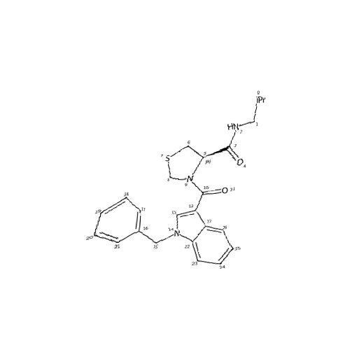 CC(C)CNC(=O)[C@@H]1CSCN1C(=O)c1cn(Cc2ccccc2)c2ccccc12